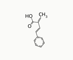 CC=C(C=Cc1ccccc1)C(=O)O